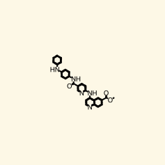 COC(=O)c1ccc2nccc(Nc3ccc(C(=O)Nc4ccc(Nc5ccccc5)cc4)cn3)c2c1